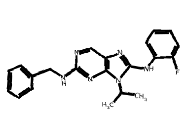 CC(C)n1c(Nc2ccccc2F)nc2cnc(NCc3ccccc3)nc21